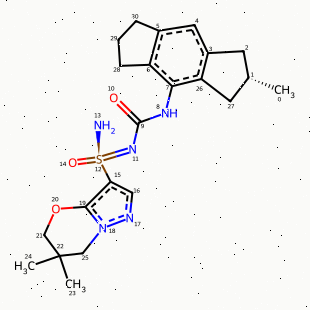 C[C@H]1Cc2cc3c(c(NC(=O)N=[S@@](N)(=O)c4cnn5c4OCC(C)(C)C5)c2C1)CCC3